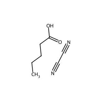 CCCCC(=O)O.N#CC#N